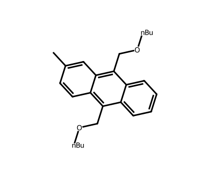 CCCCOCc1c2ccccc2c(COCCCC)c2cc(C)ccc12